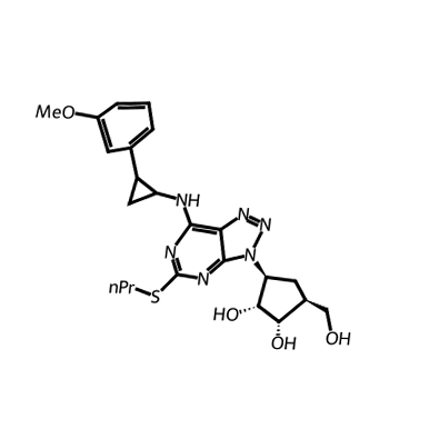 CCCSc1nc(NC2CC2c2cccc(OC)c2)c2nnn([C@H]3C[C@@H](CO)[C@H](O)[C@@H]3O)c2n1